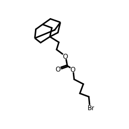 O=C(OCCCCBr)OCCC12CC3CC(CC(C3)C1)C2